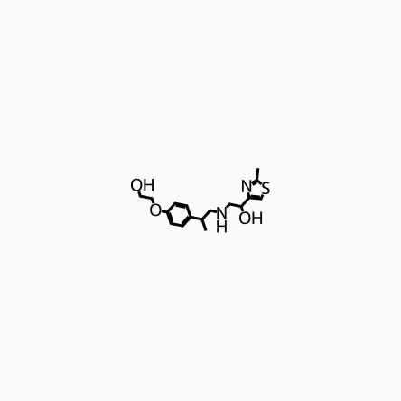 Cc1nc(C(O)CNCC(C)c2ccc(OCCO)cc2)cs1